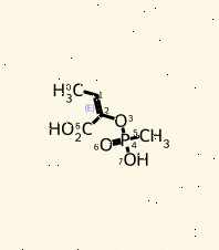 C/C=C(/OP(C)(=O)O)C(=O)O